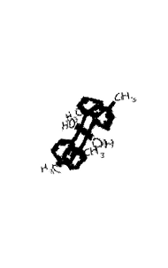 Cc1ccc(C(O)(c2ccccc2)C(O)(c2ccccc2)c2ccc(C)cc2C)c(C)c1